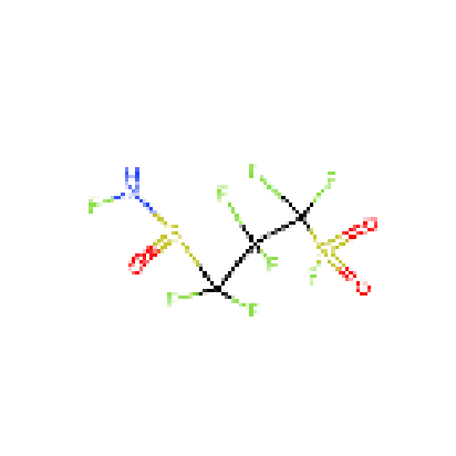 O=S(=O)(F)C(F)(F)C(F)(F)C(F)(F)S(=O)(=O)NF